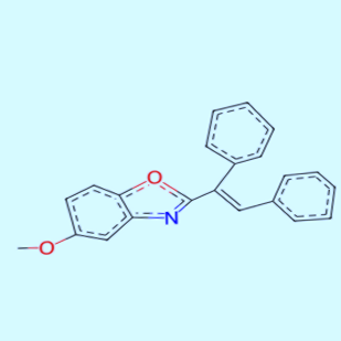 COc1ccc2oc(C(=Cc3ccccc3)c3ccccc3)nc2c1